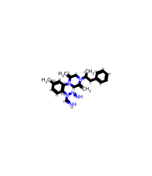 C=C1CN(C(C)Cc2ccccc2)C(=C)CN1c1cc(C)ccc1N(C=N)N=N